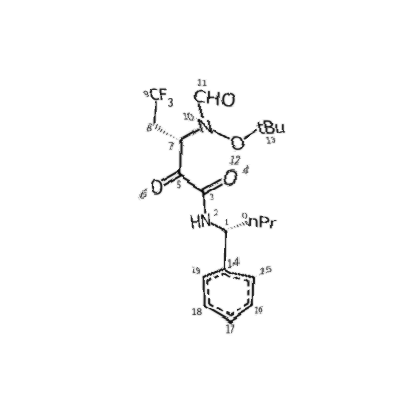 CCC[C@@H](NC(=O)C(=O)[C@H](CC(F)(F)F)N(C=O)OC(C)(C)C)c1ccccc1